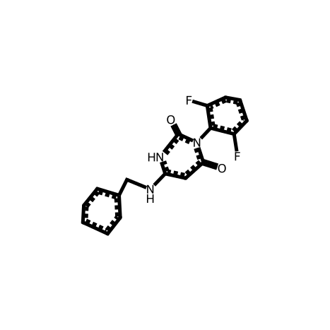 O=c1cc(NCc2ccccc2)[nH]c(=O)n1-c1c(F)cccc1F